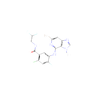 CC(C)n1cnc2cc(Br)nc(Nc3cc(C(=O)NCC(F)F)c(Cl)cc3F)c21